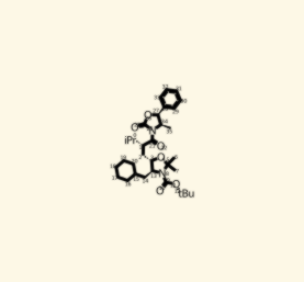 CC(C)[C@@H](C[C@@H]1OC(C)(C)N(C(=O)OC(C)(C)C)[C@H]1CC1CCCCC1)C(=O)N1C(=O)O[C@@H](c2ccccc2)[C@H]1C